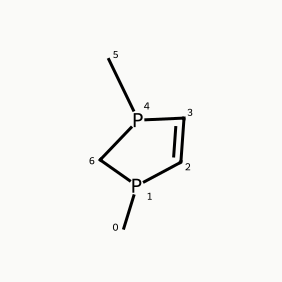 CP1C=CP(C)C1